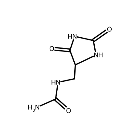 NC(=O)NCC1NC(=O)NC1=O